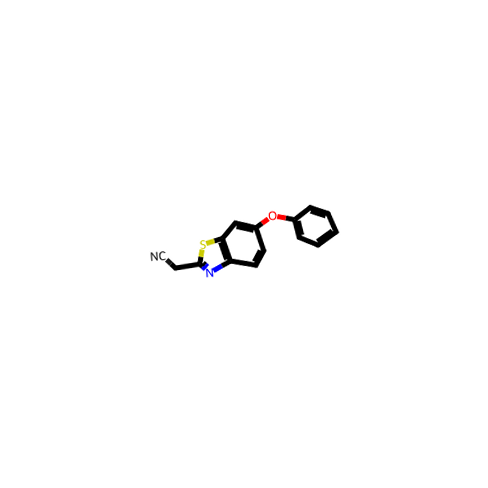 N#CCc1nc2ccc(Oc3ccccc3)cc2s1